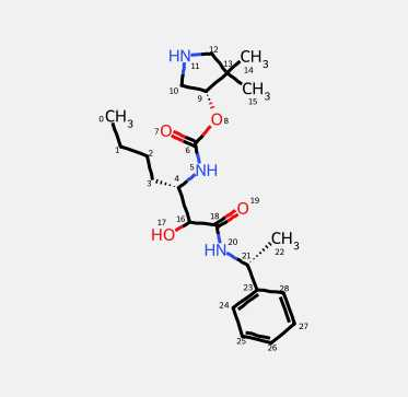 CCCC[C@H](NC(=O)O[C@@H]1CNCC1(C)C)C(O)C(=O)N[C@H](C)c1ccccc1